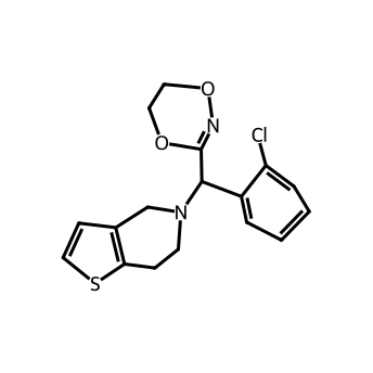 Clc1ccccc1C(C1=NOCCO1)N1CCc2sccc2C1